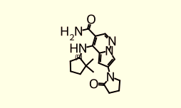 CC1(C)CCC[C@H]1Nc1c(C(N)=O)cnn2cc(N3CCCC3=O)cc12